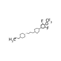 C=CC[C@H]1CC[C@H](CCCCC2CCC(c3cc(F)c(OC(F)(F)F)c(F)c3)CC2)CC1